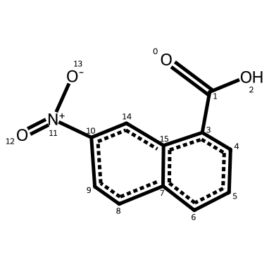 O=C(O)c1cccc2ccc([N+](=O)[O-])cc12